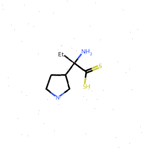 CCC(N)(C(=S)S)C1CC[N]C1